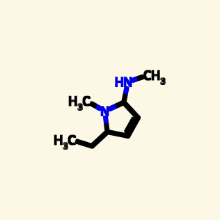 CCC1C=CC(NC)N1C